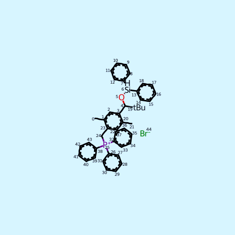 Cc1cc(C(O[SiH](c2ccccc2)c2ccccc2)C(C)(C)C)c(C)cc1C[P+](c1ccccc1)(c1ccccc1)c1ccccc1.[Br-]